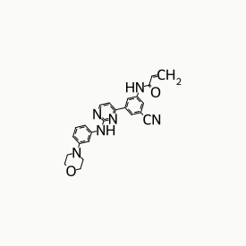 C=CC(=O)Nc1cc(C#N)cc(-c2ccnc(Nc3cccc(N4CCOCC4)c3)n2)c1